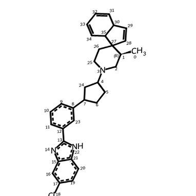 C[C@H]1CN(C2CCC(c3cccc(-c4nc5cc(Cl)ccc5[nH]4)c3)C2)CCC12C=CC1C=CC=CC12